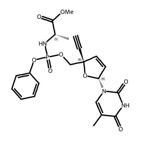 C#C[C@@]1(COP(=O)(N[C@@H](C)C(=O)OC)Oc2ccccc2)C=C[C@H](n2cc(C)c(=O)[nH]c2=O)O1